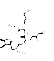 CC(=O)N[C@@H](Cc1c[nH]c2ccccc12)C(=O)N[C@@H](CCC(=O)C=N)C(=O)N[C@@H](CCCCN)C(=O)OC(C)C